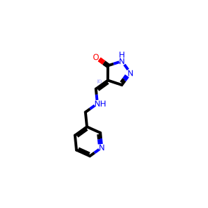 O=C1NN=C/C1=C\NCc1cccnc1